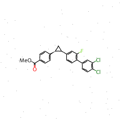 COC(=O)c1ccc([C@H]2CC2c2ccc(-c3ccc(Cl)c(Cl)c3)c(F)c2)cc1